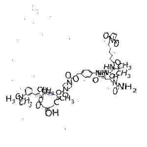 C/C(=C\c1cccc(N(C)C)c1)[C@H]1OC(=O)C[C@H](O)CC[C@H](C)C(OC(=O)N2CCN(C(=O)OCc3ccc(NC(=O)[C@H](CCCNC(N)=O)NC(=O)[C@@H](NC(=O)CCCCCN4C(=O)C=CC4=O)C(C)C)cc3)CC2)/C=C/[C@@H]1C